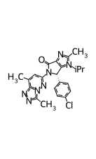 Cc1cc(N2C(=O)c3nc(C)n(C(C)C)c3[C@@H]2c2ccc(Cl)cc2)nn2c(C)nnc12